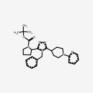 CC(C)(C)OC(=O)N1CCCC1c1nnc(C2CCN(c3ccccn3)CC2)n1Cc1ccccc1